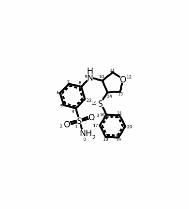 NS(=O)(=O)c1cccc(NC2COCC2Sc2ccccc2)c1